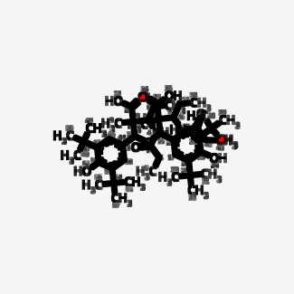 CCC(=O)NC(CC)C(C)(C(=O)O)C(SC(c1cc(C(C)(C)C)c(O)c(C(C)(C)C)c1)C(C)(C(=O)O)C(CC)NC(=O)CC)c1cc(C(C)(C)C)c(O)c(C(C)(C)C)c1